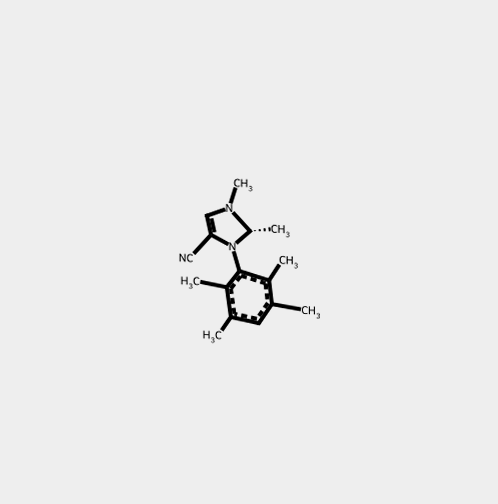 Cc1cc(C)c(C)c(N2C(C#N)=CN(C)[C@@H]2C)c1C